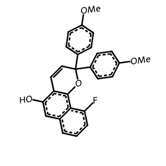 COc1ccc(C2(c3ccc(OC)cc3)C=Cc3c(O)cc4cccc(F)c4c3O2)cc1